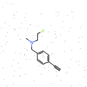 C#Cc1ccc(CN(C)CCF)cc1